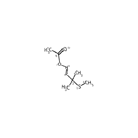 CSC(C)(C)C=NOC(C)=O